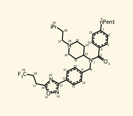 CCCCCc1ccc(C(=O)N(Cc2ccc(-c3noc(CCC(F)(F)F)n3)cc2)C2CCN(CCC(C)C)CC2)cc1